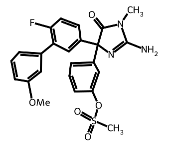 COc1cccc(-c2cc(C3(c4cccc(OS(C)(=O)=O)c4)N=C(N)N(C)C3=O)ccc2F)c1